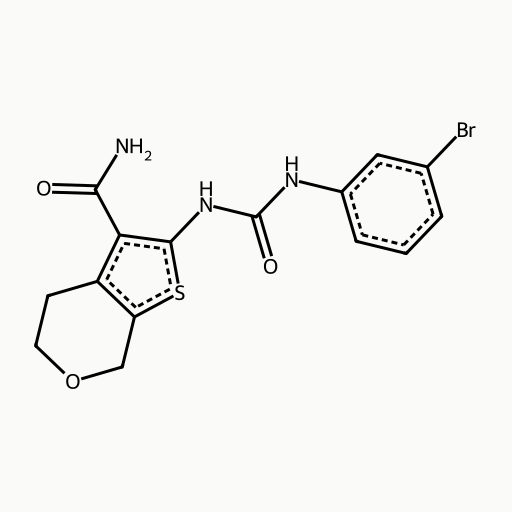 NC(=O)c1c(NC(=O)Nc2cccc(Br)c2)sc2c1CCOC2